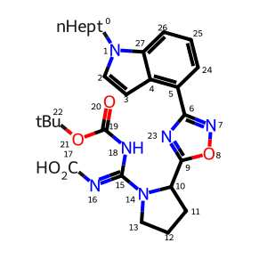 CCCCCCCn1ccc2c(-c3noc(C4CCCN4C(=NC(=O)O)NC(=O)OC(C)(C)C)n3)cccc21